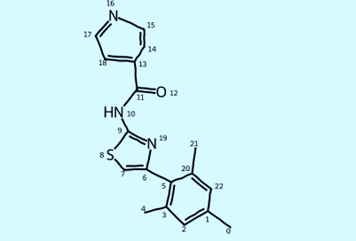 Cc1cc(C)c(-c2csc(NC(=O)c3ccncc3)n2)c(C)c1